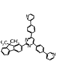 CC1(C)c2ccccc2-c2ccc(-c3nc(-c4ccc(-c5cccnc5)cc4)cc(-c4ccc(-c5cccnc5)cc4)n3)cc21